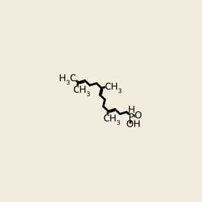 CC(C)=CCCC(C)=CCCC(C)=CCC[PH](=O)O